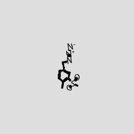 Cc1ccc(CN=[N+]=[N-])cc1S(C)(=O)=O